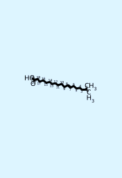 CC(C)CCCCC=CCCCCCCCCCCC(=O)O